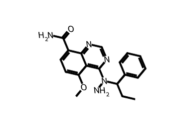 CCC(c1ccccc1)N(N)c1ncnc2c(C(N)=O)ccc(OC)c12